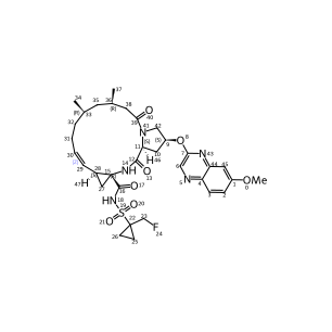 COc1ccc2ncc(O[C@H]3C[C@H]4C(=O)N[C@]5(C(=O)NS(=O)(=O)C6(CF)CC6)C[C@H]5/C=C\CC[C@@H](C)C[C@@H](C)CC(=O)N4C3)nc2c1